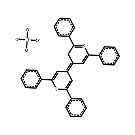 C1=C(c2ccccc2)SC(c2ccccc2)=CC1=C1C=C(c2ccccc2)[S+]=C(c2ccccc2)C1.[O-][Cl+3]([O-])([O-])[O-]